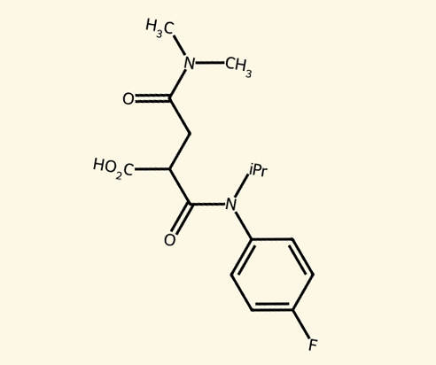 CC(C)N(C(=O)C(CC(=O)N(C)C)C(=O)O)c1ccc(F)cc1